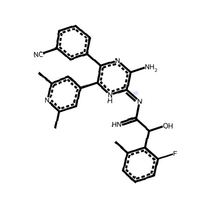 Cc1cc(-c2[nH]/c(=N\C(=N)C(O)c3c(C)cccc3F)c(N)nc2-c2cccc(C#N)c2)cc(C)n1